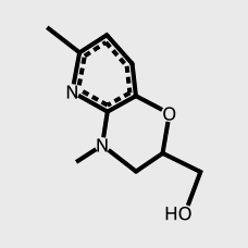 Cc1ccc2c(n1)N(C)CC(CO)O2